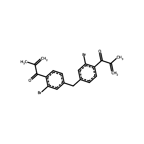 C=C(C)C(=O)c1ccc(Cc2ccc(C(=O)C(=C)C)c(Br)c2)cc1Br